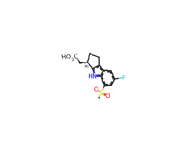 CS(=O)(=O)c1cc(F)cc2c3c([nH]c12)[C@@H](CC(=O)O)CC3